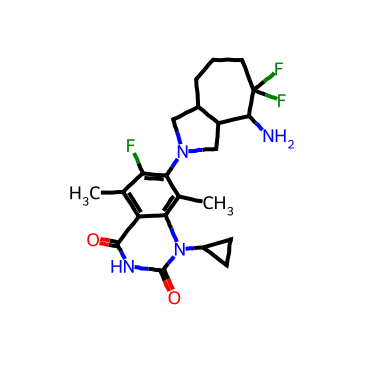 Cc1c(F)c(N2CC3CCCC(F)(F)C(N)C3C2)c(C)c2c1c(=O)[nH]c(=O)n2C1CC1